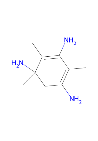 CC1=C(N)CC(C)(N)C(C)=C1N